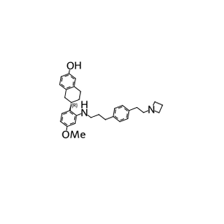 COc1ccc([C@@H]2CCc3cc(O)ccc3C2)c(NCCCc2ccc(CCN3CCC3)cc2)c1